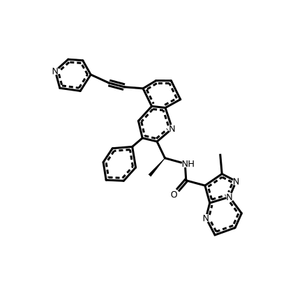 Cc1nn2cccnc2c1C(=O)N[C@@H](C)c1nc2cccc(C#Cc3ccncc3)c2cc1-c1ccccc1